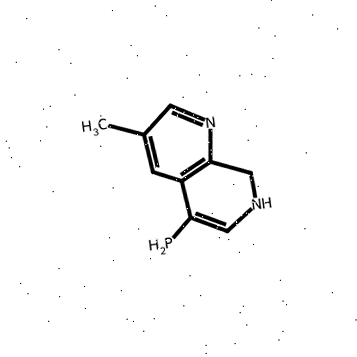 Cc1cnc2c(c1)C(P)=CNC2